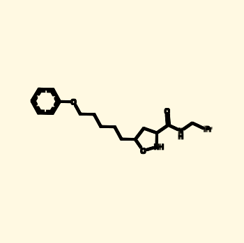 CC(C)CNC(=O)C1CC(CCCCCOc2ccccc2)ON1